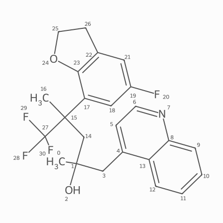 CC(O)(Cc1ccnc2ccccc12)CC(C)(c1cc(F)cc2c1OCC2)C(F)(F)F